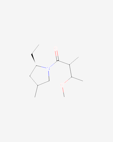 CC[C@@H]1CC(C)CN1C(=O)C(C)C(C)OC